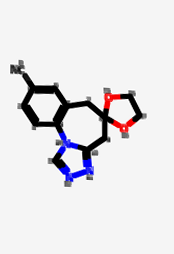 N#Cc1ccc2c(c1)CC1(Cc3nncn3-2)OCCO1